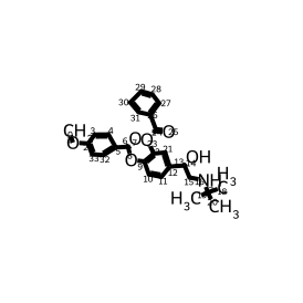 COc1ccc(C(=O)Oc2ccc(C(O)CNC(C)(C)C)cc2OC(=O)c2ccccc2)cc1